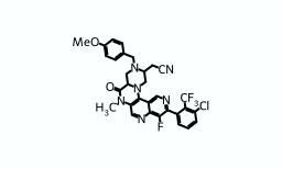 COc1ccc(CN2CC3C(=O)N(C)c4cnc5c(F)c(-c6cccc(Cl)c6C(F)(F)F)ncc5c4N3CC2CC#N)cc1